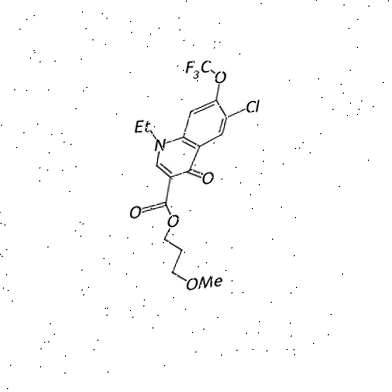 CCn1cc(C(=O)OCCCOC)c(=O)c2cc(Cl)c(OC(F)(F)F)cc21